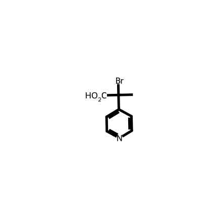 CC(Br)(C(=O)O)c1ccncc1